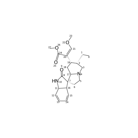 CC[C@@H]1CN2CC[C@]3(C(=O)NC4C=CC=CC43)C2C[C@@H]1C(=COC)C(=O)OC